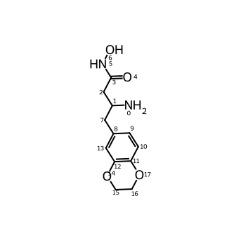 NC(CC(=O)NO)Cc1ccc2c(c1)OCCO2